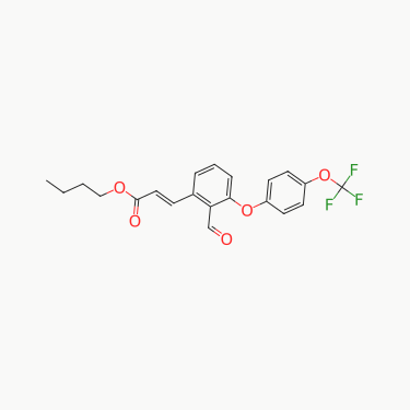 CCCCOC(=O)/C=C/c1cccc(Oc2ccc(OC(F)(F)F)cc2)c1C=O